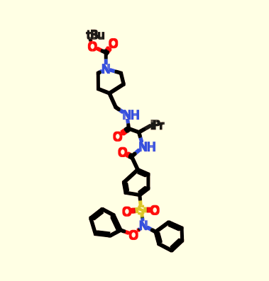 CC(C)C(NC(=O)c1ccc(S(=O)(=O)N(Oc2ccccc2)c2ccccc2)cc1)C(=O)NCC1CCN(C(=O)OC(C)(C)C)CC1